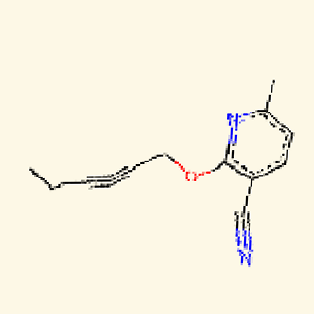 CCC#CCOc1nc(C)ccc1C#N